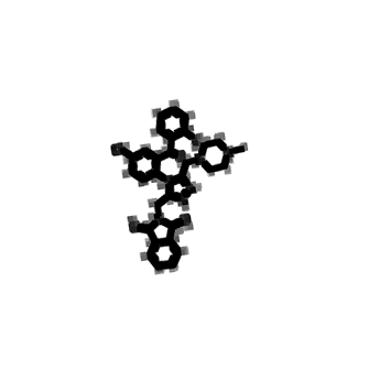 CN1CCN(Cc2nnc(CN3C(=O)c4ccccc4C3=O)n2-c2ccc(Cl)cc2C(=O)c2ccccc2Cl)CC1